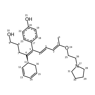 C\C(=C/C=C/C(=C(/CCCO)[C@@H]1C=CC=CC1)c1ccc(O)cc1)OCCN1CCCC1